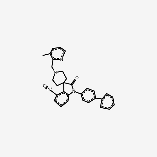 [C-]#[N+]c1cccc2c1C1(CCN(Cc3ncccc3C)CC1)C(=O)N2c1ccc(-c2ccccc2)cc1